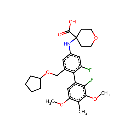 COc1cc(-c2c(F)cc(NC3(C(=O)O)CCOCC3)cc2COC2CCCC2)c(F)c(OC)c1C